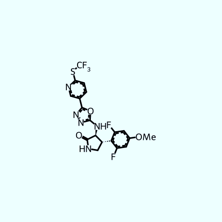 COc1cc(F)c([C@@H]2CNC(=O)[C@H]2Nc2nnc(-c3ccc(SC(F)(F)F)nc3)o2)c(F)c1